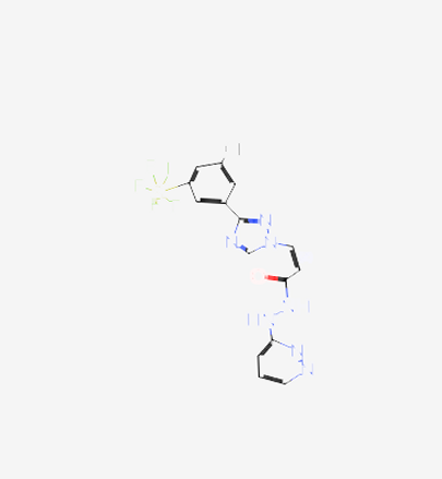 O=C(/C=C\n1cnc(-c2cc(C(F)(F)F)cc(S(F)(F)(F)(F)F)c2)n1)NNc1cccnn1